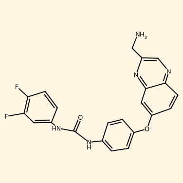 NCc1cnc2ccc(Oc3ccc(NC(=O)Nc4ccc(F)c(F)c4)cc3)cc2n1